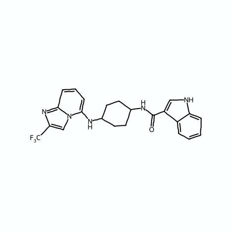 O=C(NC1CCC(Nc2cccc3nc(C(F)(F)F)cn23)CC1)c1c[nH]c2ccccc12